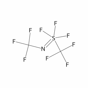 FC(F)(F)N=S(F)(F)(F)C(F)(F)F